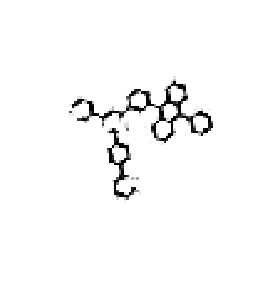 c1ccc(-c2c3ccccc3c(-c3cccc(-c4cc(-c5cccnc5)nc(-c5ccc(-c6ccccn6)cc5)n4)c3)c3ccccc23)cc1